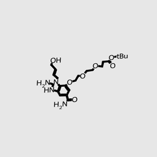 CC(C)(C)OC(=O)CCOCCOCCOc1cc(C(N)=O)cc2c1N(C/C=C/CO)C(N)N2